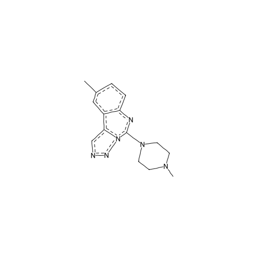 Cc1ccc2nc(N3CCN(C)CC3)n3nncc3c2c1